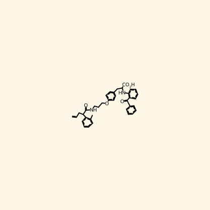 C=CCC(C(=O)NCCCOc1ccc(CC(Nc2ccccc2C(=O)c2ccccc2)C(=O)O)cc1)c1ccccc1C